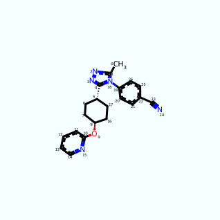 Cc1nnc([C@H]2CC[C@H](Oc3ccccn3)CC2)n1-c1ccc(C#N)cc1